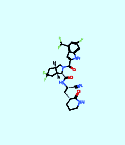 N#C[C@H](C[C@H]1CCCNC1=O)NC(=O)[C@@H]1[C@H]2CC(F)(F)C[C@H]2CN1C(=O)c1cc2c(C(F)F)cc(F)cc2[nH]1